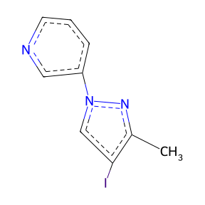 Cc1nn(-c2cccnc2)cc1I